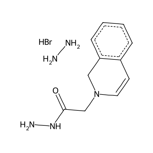 Br.NN.NNC(=O)CN1C=Cc2ccccc2C1